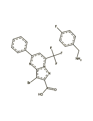 NCc1ccc(F)cc1.O=C(O)c1nn2c(C(F)(F)F)cc(-c3ccccc3)nc2c1Br